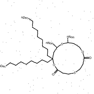 CCCCCCCCCCCCCCCCCCC1(CCCCCCCCCCCCCCCCCC)CC(CCCCCCCCC)SC(CCCCCCCCC)CCOC(=O)CCSCCC(=O)O1